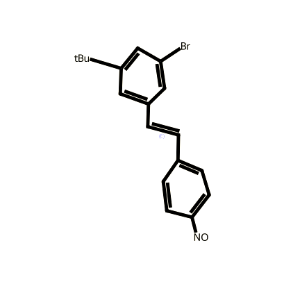 CC(C)(C)c1cc(Br)cc(/C=C/c2ccc(N=O)cc2)c1